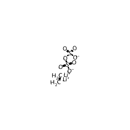 C=C.O=S(=O)([O-])OS(=O)(=O)[O-].[Li+].[Li+]